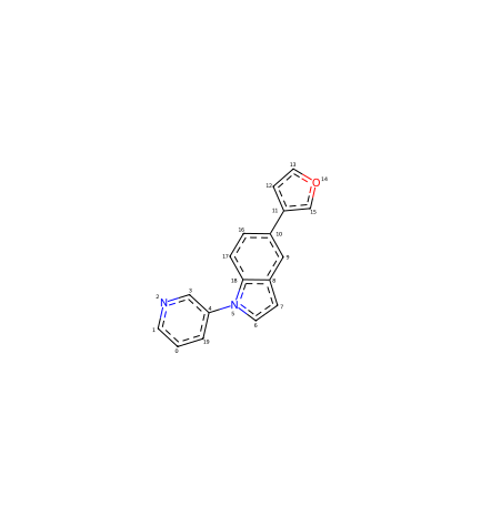 c1cncc(-n2ccc3cc(-c4ccoc4)ccc32)c1